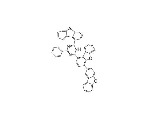 c1ccc(C2=NC(c3ccc(-c4ccc5oc6ccccc6c5c4)c4oc5ccccc5c34)NC(c3cccc4sc5ccccc5c34)=N2)cc1